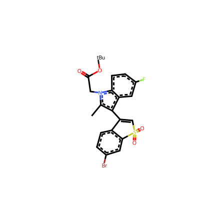 Cc1c(C2=CS(=O)(=O)c3cc(Br)ccc32)c2cc(F)ccc2n1CC(=O)OC(C)(C)C